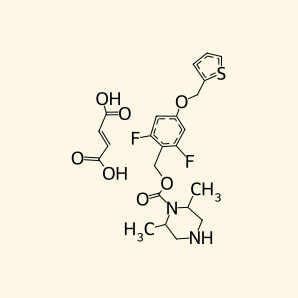 CC1CNCC(C)N1C(=O)OCc1c(F)cc(OCc2cccs2)cc1F.O=C(O)C=CC(=O)O